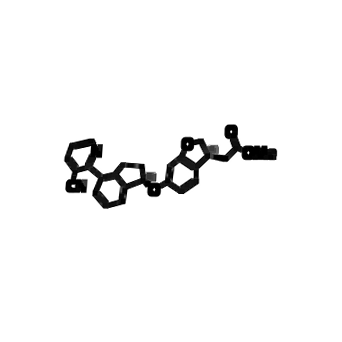 COC(=O)C[C@@H]1COc2cc(O[C@@H]3CCc4c(-c5ncccc5C#N)cccc43)ccc21